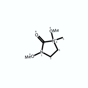 CON1CC[N+](C)(OC)C1=O